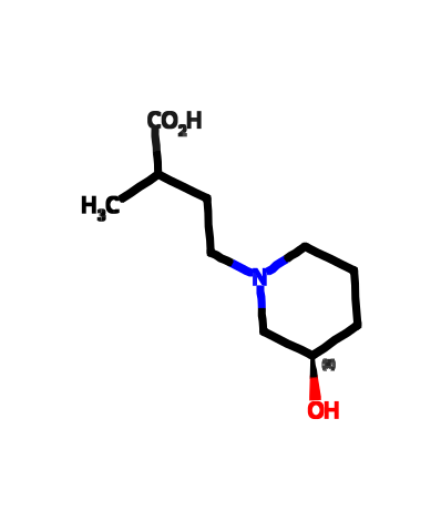 CC(CCN1CCC[C@@H](O)C1)C(=O)O